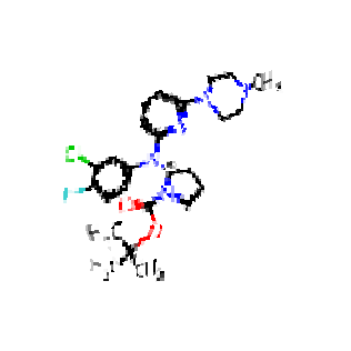 CN1CCN(c2cccc(N(c3ccc(F)c(Cl)c3)[C@@H]3CCCN3C(=O)OC(C)(C)C)n2)CC1